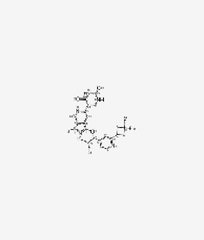 Cn1nc(O[C@H](c2ccnc(C3CC(F)(F)C3)c2)C(F)F)c2cc(-c3c[nH]c(=O)[nH]c3=O)nnc21